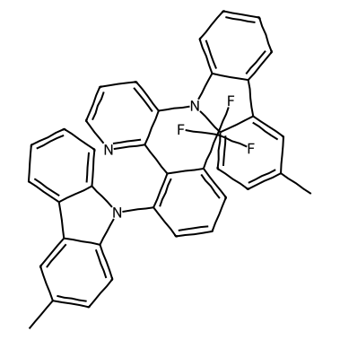 Cc1ccc2c(c1)c1ccccc1n2-c1cccnc1-c1c(-n2c3ccccc3c3cc(C)ccc32)cccc1C(F)(F)F